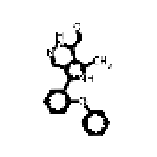 Cc1[nH]c(-c2ccccc2Oc2ccccc2)c2c1C(C=O)NN=C2